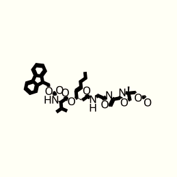 CCC/C=C/[C@H](CC(=O)NCc1nc(C2=N[C@](C)(COC=O)CO2)co1)OC(=O)[C@@H](NC(=O)OCC1c2ccccc2-c2ccccc21)C(C)C